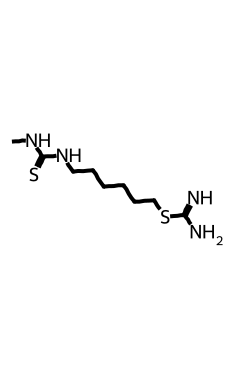 CNC(=S)NCCCCCCSC(=N)N